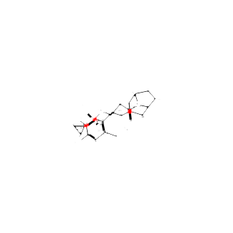 N[C@H](Cc1cc(F)c(F)cc1F)C1CC2CCC(C1)N2C(=O)CCNS(=O)(=O)C1CC1